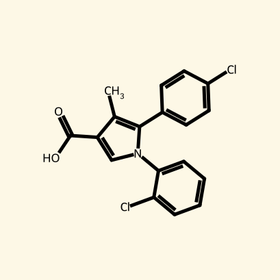 Cc1c(C(=O)O)cn(-c2ccccc2Cl)c1-c1ccc(Cl)cc1